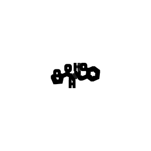 O=C(NN=Cc1ccccc1O)c1ccco1